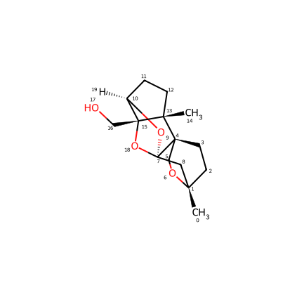 C[C@@]12CC[C@@]3(CO1)[C@]1(C2)O[C@@H]2CC[C@@]3(C)[C@]2(CO)O1